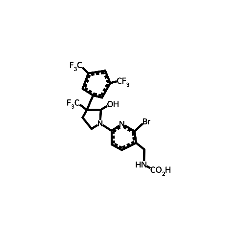 O=C(O)NCc1ccc(N2CCC(c3cc(C(F)(F)F)cc(C(F)(F)F)c3)(C(F)(F)F)C2O)nc1Br